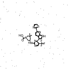 CC1(C)C[C@H](Nc2ncc(C(F)(F)F)c(-c3c[nH]c4nc(-c5nccs5)ccc34)n2)CN(C(=O)O)C1